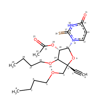 C#C[C@]1(COCCCC)O[C@@H](n2ccc(=O)[nH]c2=S)[C@@H](OC(C)=O)C1OCCCC